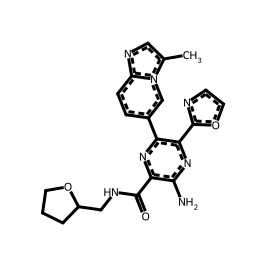 Cc1cnc2ccc(-c3nc(C(=O)NCC4CCCO4)c(N)nc3-c3ncco3)cn12